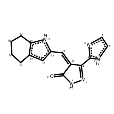 O=C1NN=C(c2ncc[nH]2)C1=Cc1cc2c([nH]1)CCCC2